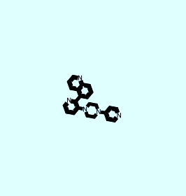 c1cnc(-c2cccc3ncccc23)c(N2CCN(c3ccncc3)CC2)c1